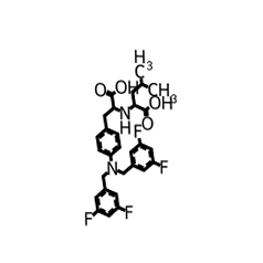 CC(C)CC(NC(Cc1ccc(N(Cc2cc(F)cc(F)c2)Cc2cc(F)cc(F)c2)cc1)C(=O)O)C(=O)O